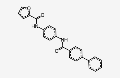 O=C(Nc1ccc(NC(=O)c2ccco2)cc1)c1ccc(-c2ccccc2)cc1